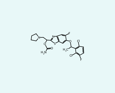 CC(Oc1cc2sc(C(CN3CCCC3)OC(N)=O)nc2cc1F)c1c(Cl)ccc(F)c1Cl